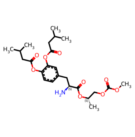 COC(=O)OC[C@H](C)OC(=O)[C@@H](N)Cc1ccc(OC(=O)CC(C)C)c(OC(=O)CC(C)C)c1